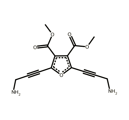 COC(=O)c1c(C#CCN)oc(C#CCN)c1C(=O)OC